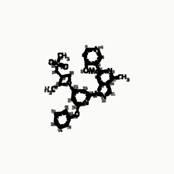 COc1ccncc1-c1cc2c(cnn2-c2cc(N3C[C@H](CS(C)(=O)=O)[C@H]3C)cc(Oc3ccccc3)n2)c(C)n1